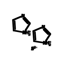 C1=C[NH2+]C=N1.C1=C[NH2+]C=N1.[S-2]